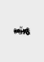 Cc1cc(C(=O)Nc2ccc(S(C)(=O)=O)cc2Cl)c(C)n1-c1ccccc1C(F)(F)F